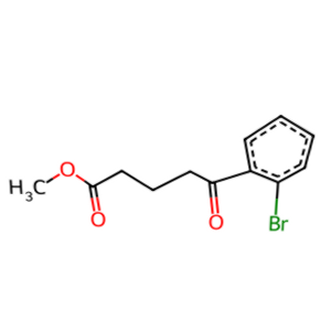 COC(=O)CCCC(=O)c1ccccc1Br